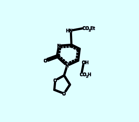 CCOC(=O)Nc1ccn(C2COCO2)c(=O)n1.O=C(O)O